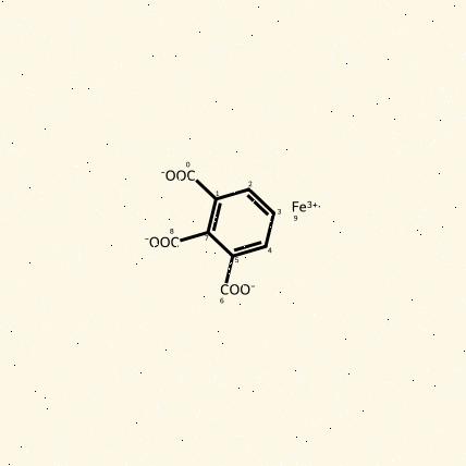 O=C([O-])c1cccc(C(=O)[O-])c1C(=O)[O-].[Fe+3]